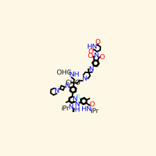 C=CN(c1c(C)cc(-c2ccc(C(C)(CCCN3CCC4(CC3)CN(c3ccc5c(c3)C(=O)N(C3CCC(=O)NC3=O)C5=O)C4)CCNC=O)c(N(C=O)C3CC(N4CCCCC4)C3)c2)nc1Nc1cc(C(=O)NC(C)C)c(C)cc1F)C(C)C